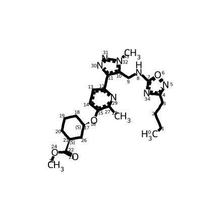 CCCCc1noc(NCc2c(-c3ccc(O[C@H]4CCC[C@H](C(=O)OC)C4)c(C)n3)nnn2C)n1